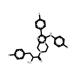 CC(Cc1ccc(F)cc1)C(=O)N1CCn2c(nc(-c3ccc(F)cc3)c2Nc2ccc(F)cc2)C1